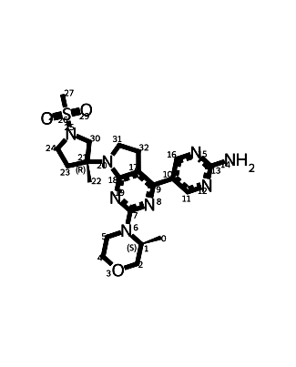 C[C@H]1COCCN1c1nc(-c2cnc(N)nc2)c2c(n1)N([C@]1(C)CCN(S(C)(=O)=O)C1)CC2